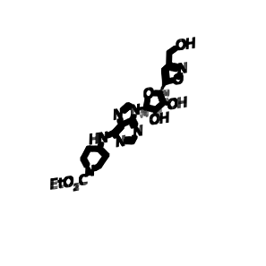 CCOC(=O)N1CCC(Nc2ncnc3c2ncn3[C@@H]2O[C@H](c3cc(CO)no3)[C@@H](O)[C@@H]2O)CC1